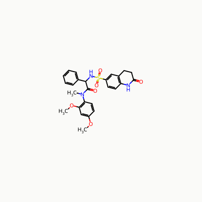 COc1ccc(N(C)C(=O)C(NS(=O)(=O)c2ccc3c(c2)CCC(=O)N3)c2ccccc2)c(OC)c1